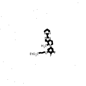 CCOC(=O)CCCOc1cc(N2CCc3nc(-c4ncccn4)ncc3C2C)cc(F)c1F